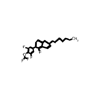 CCCCCCCc1ccc2c(F)c(-c3cc(F)c(OC(F)F)c(F)c3)ccc2c1